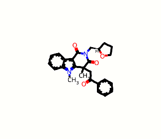 Cn1c2c(c3ccccc31)C(=O)N(C[C@H]1CCCO1)C(=O)C2(C)CC(=O)c1ccccc1